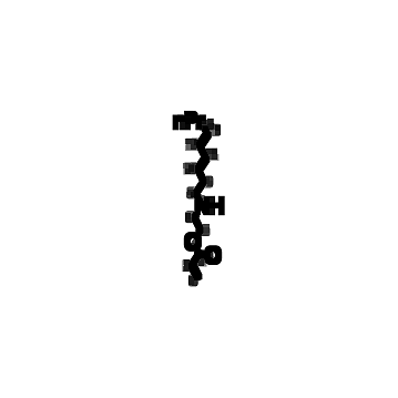 C=CC(=O)OCCNCCC=CC=CCCC